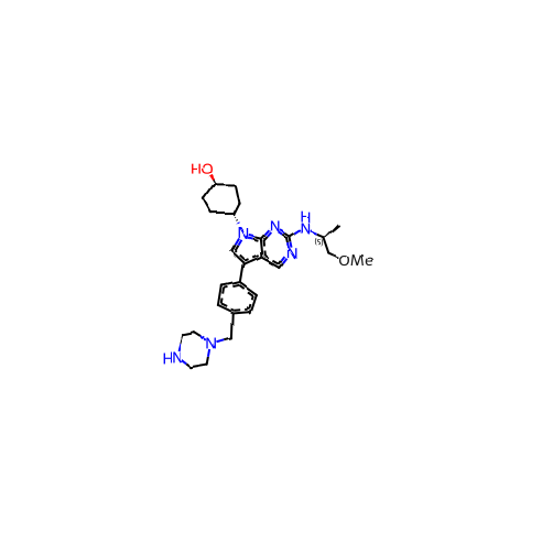 COC[C@H](C)Nc1ncc2c(-c3ccc(CN4CCNCC4)cc3)cn([C@H]3CC[C@H](O)CC3)c2n1